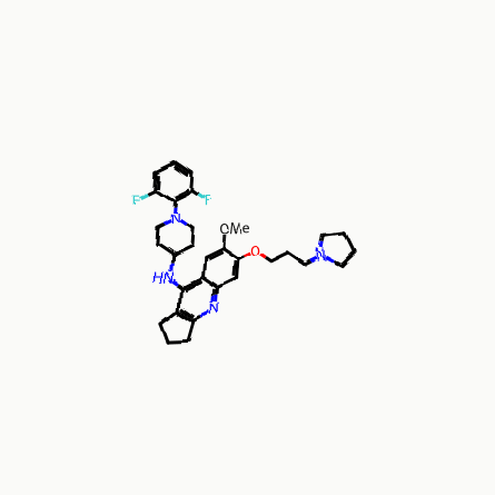 COc1cc2c(NC3CCN(c4c(F)cccc4F)CC3)c3c(nc2cc1OCCCN1CCCC1)CCC3